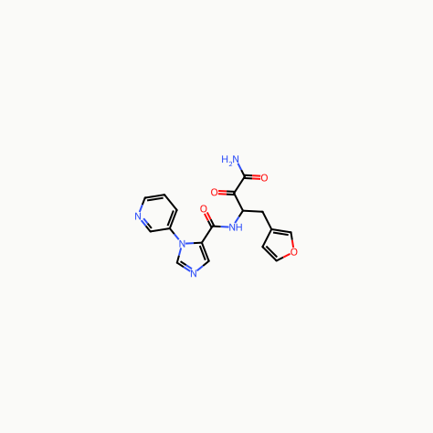 NC(=O)C(=O)C(Cc1ccoc1)NC(=O)c1cncn1-c1cccnc1